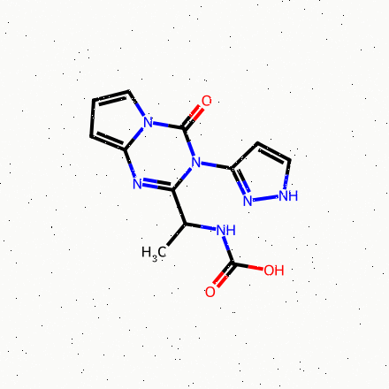 CC(NC(=O)O)c1nc2cccn2c(=O)n1-c1cc[nH]n1